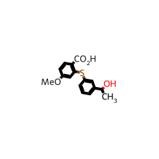 COc1ccc(C(=O)O)c(Sc2cccc(C(C)O)c2)c1